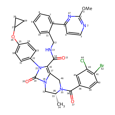 COc1nccc(-c2ccccc2CNC(=O)c2c3n(c(=O)n2-c2ccc(OC4CC4)cc2)C[C@@H](C)N(C(=O)c2ccc(Br)c(Cl)c2)C3)n1